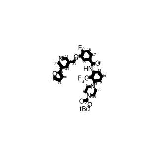 CC(C)(C)OC(=O)N1CCN(c2cccc(NC(=O)c3ccc(F)c(OCc4cncc(-c5ccco5)c4)c3)c2C(F)(F)F)CC1